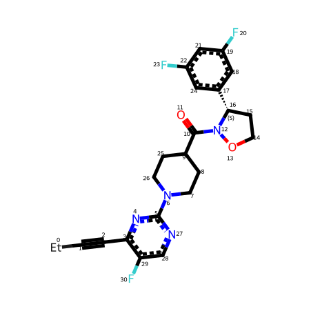 CCC#Cc1nc(N2CCC(C(=O)N3OCC[C@H]3c3cc(F)cc(F)c3)CC2)ncc1F